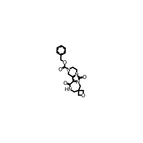 O=C1NCC2(COC2)Cn2c1c1n(c2=O)CCN(C(=O)OCc2ccccc2)C1